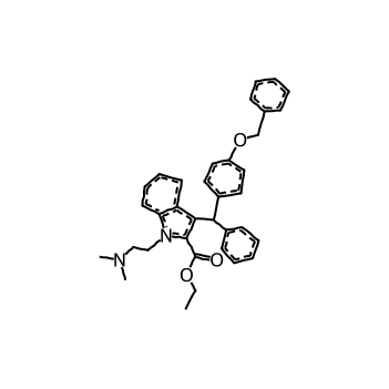 CCOC(=O)c1c(C(c2ccccc2)c2ccc(OCc3ccccc3)cc2)c2ccccc2n1CCN(C)C